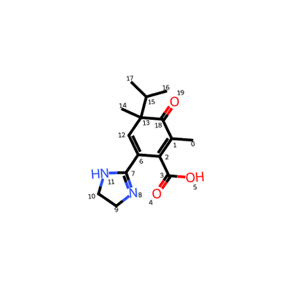 CC1=C(C(=O)O)C(C2=NCCN2)=CC(C)(C(C)C)C1=O